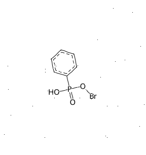 O=P(O)(OBr)c1ccccc1